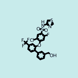 O=S(=O)(Nc1cscn1)c1cc(Cl)c(Oc2cc(C(F)(F)F)ccc2-c2cccc(CO)c2)cc1F